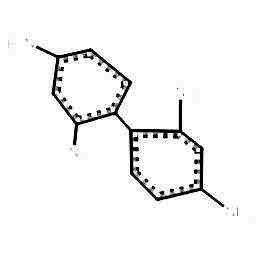 Nc1ccc(-c2ccc(N)c[c]2[Na])[c]([Na])c1